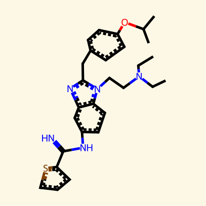 CCN(CC)CCn1c(Cc2ccc(OC(C)C)cc2)nc2cc(NC(=N)c3cccs3)ccc21